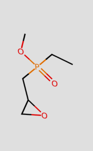 CCP(=O)(CC1CO1)OC